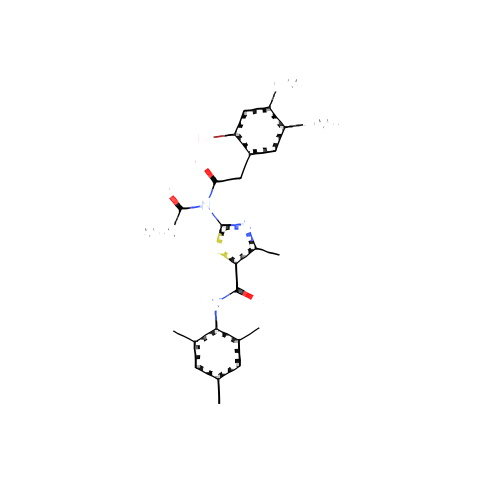 CNC(=O)N(C(=O)Cc1cc(OC)c(OC)cc1Br)c1nc(C)c(C(=O)Nc2c(C)cc(C)cc2C)s1